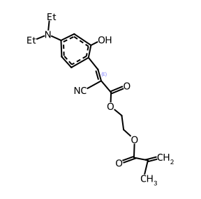 C=C(C)C(=O)OCCOC(=O)/C(C#N)=C/c1ccc(N(CC)CC)cc1O